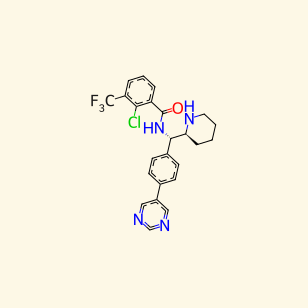 O=C(N[C@@H](c1ccc(-c2cncnc2)cc1)[C@@H]1CCCCN1)c1cccc(C(F)(F)F)c1Cl